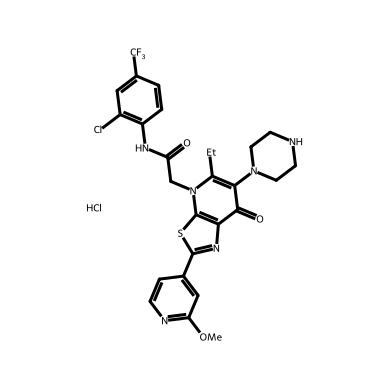 CCc1c(N2CCNCC2)c(=O)c2nc(-c3ccnc(OC)c3)sc2n1CC(=O)Nc1ccc(C(F)(F)F)cc1Cl.Cl